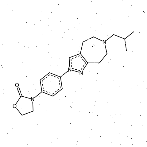 CC(C)CN1CCc2cn(-c3ccc(N4CCOC4=O)cc3)nc2CC1